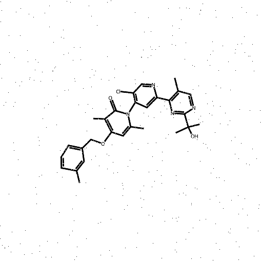 Cc1cccc(COc2cc(C)n(-c3cc(-c4nc(C(C)(C)O)ncc4C)ncc3Cl)c(=O)c2C)c1